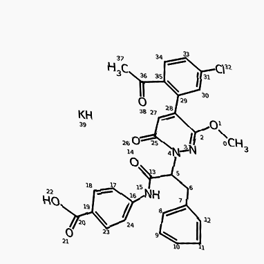 COc1nn(C(Cc2ccccc2)C(=O)Nc2ccc(C(=O)O)cc2)c(=O)cc1-c1cc(Cl)ccc1C(C)=O.[KH]